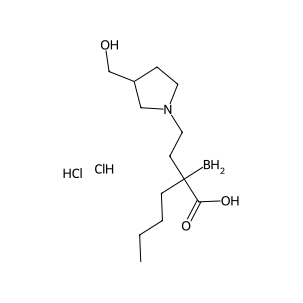 BC(CCCC)(CCN1CCC(CO)C1)C(=O)O.Cl.Cl